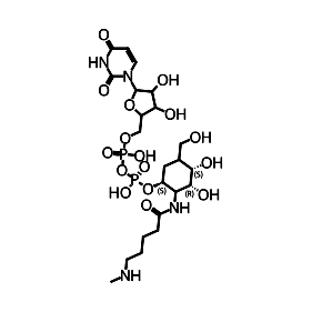 CNCCCCC(=O)NC1[C@@H](OP(=O)(O)OP(=O)(O)OCC2OC(n3ccc(=O)[nH]c3=O)C(O)C2O)CC(CO)[C@H](O)[C@@H]1O